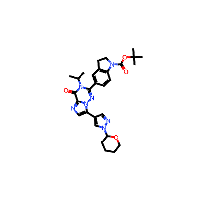 CC(C)n1c(-c2ccc3c(c2)CCN3C(=O)OC(C)(C)C)nn2c(-c3cnn(C4CCCCO4)c3)cnc2c1=O